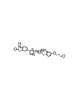 N[C@H](CNc1ncc(-c2ccc3c(c2)CC(=O)N3)s1)Cc1ccc(OCCCCl)cc1